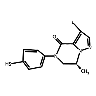 C[C@H]1CN(c2ccc(S)cc2)C(=O)c2c(I)cnn21